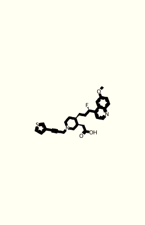 COc1ccc2nccc([C@@H](F)CC[C@@H]3CCN(CC#Cc4ccsc4)C[C@@H]3CC(=O)O)c2c1